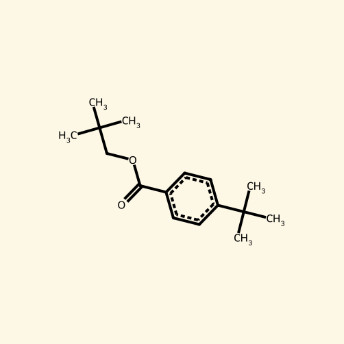 CC(C)(C)COC(=O)c1ccc(C(C)(C)C)cc1